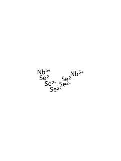 [Nb+5].[Nb+5].[Se-2].[Se-2].[Se-2].[Se-2].[Se-2]